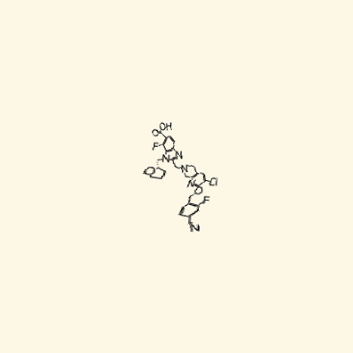 N#Cc1ccc(COc2nc3c(cc2Cl)CCN(Cc2nc4ccc(C(=O)O)c(F)c4n2C[C@@H]2CCCO2)C3)c(F)c1